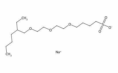 CCCCC(CC)COCCOCCOCCCCS(=O)(=O)[O-].[Na+]